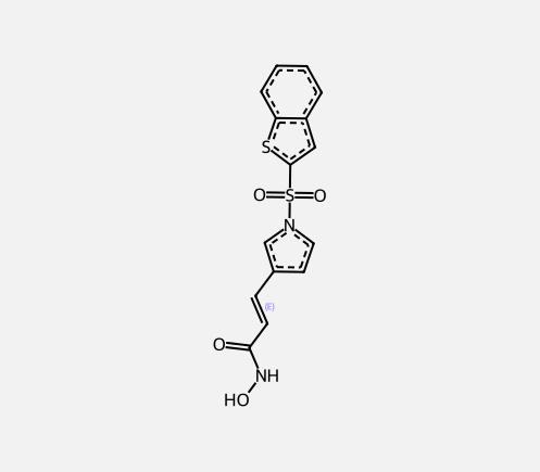 O=C(/C=C/c1ccn(S(=O)(=O)c2cc3ccccc3s2)c1)NO